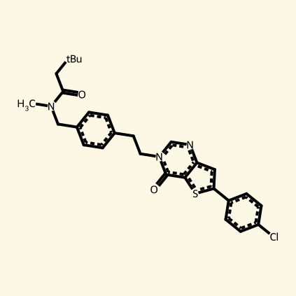 CN(Cc1ccc(CCn2cnc3cc(-c4ccc(Cl)cc4)sc3c2=O)cc1)C(=O)CC(C)(C)C